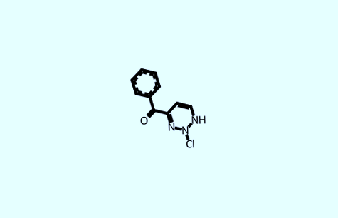 O=C(C1=NN(Cl)NC=C1)c1ccccc1